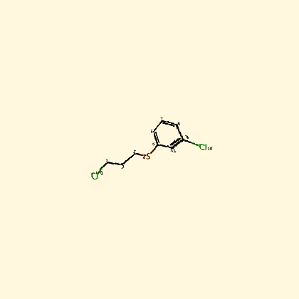 ClCCCSc1cccc(Cl)c1